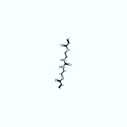 C=CC(=O)OCCNC(=O)NCCOC(=O)C=C